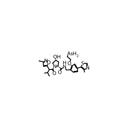 Cc1cc(C(C(=O)N2C[C@H](O)C[C@H]2C(=O)NCc2ccc(-c3scnc3C)cc2OCC[AsH2])C(C)C)on1